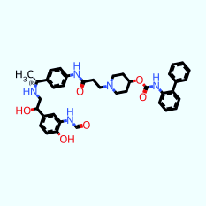 C[C@@H](NCC(O)c1ccc(O)c(NC=O)c1)c1ccc(NC(=O)CCN2CCC(OC(=O)Nc3ccccc3-c3ccccc3)CC2)cc1